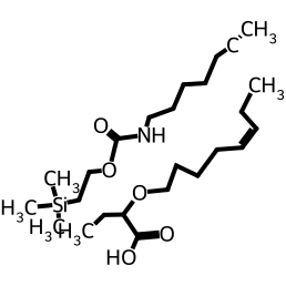 CC/C=C\CCCCOC(CC)C(=O)O.CCCCCCCNC(=O)OCC[Si](C)(C)C